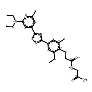 CCc1cc(-c2noc(-c3cc(C)nc(N(CC)CC)c3)n2)cc(C)c1CCC(=O)NCC(=O)O